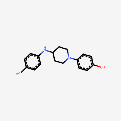 CCCc1ccc(NC2CCN(c3ccc(O)cc3)CC2)cc1